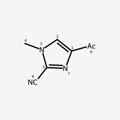 CC(=O)c1cn(C)c(C#N)n1